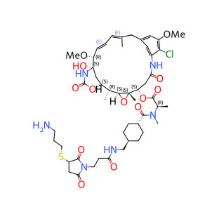 COc1cc2cc(c1Cl)NC(=O)C[C@H](OC(=O)[C@@H](C)N(C)C(=O)[C@H]1CC[C@H](CNC(=O)CCN3C(=O)CC(SCCCN)C3=O)CC1)[C@]1(C)O[C@H]1[C@H](C)[C@@H]1C[C@@](O)(NC(=O)O1)[C@H](OC)/C=C/C=C(\C)C2